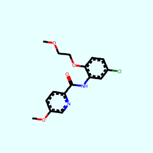 COCCOc1ccc(Cl)cc1NC(=O)c1ccc(OC)cn1